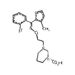 CCc1ccccc1C(=NOCCN1CCC[C@@H](C(=O)O)C1)c1sccc1C